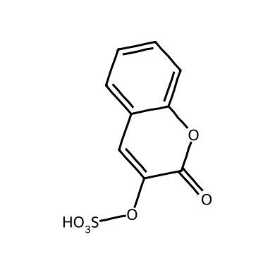 O=c1oc2ccccc2cc1OS(=O)(=O)O